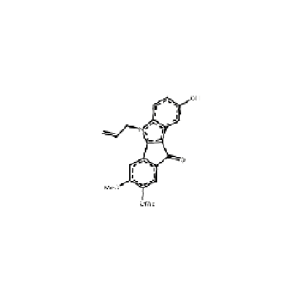 C=CCn1c2c(c3cc(O)ccc31)C(=O)c1cc(OC)c(OC)cc1-2